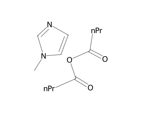 CCCC(=O)OC(=O)CCC.Cn1ccnc1